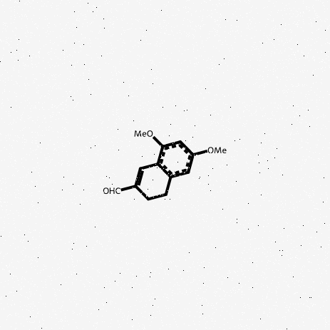 COc1cc2c(c(OC)c1)C=C(C=O)CC2